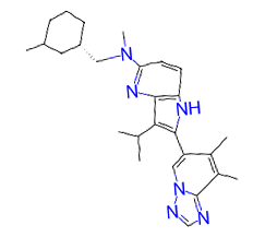 Cc1c(-c2[nH]c3ccc(N(C)C[C@H]4CCCC(C)C4)nc3c2C(C)C)cn2ncnc2c1C